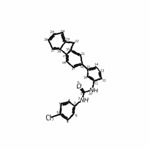 O=C(Nc1ccc(Cl)cc1)Nc1cccc(-c2ccc3c(c2)Cc2ccccc2-3)c1